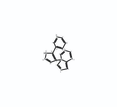 C1=NC=NC2=CN=C[N+]12c1cn[nH]c1-c1cccnc1